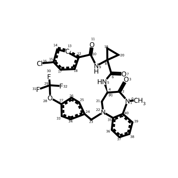 CN1C(=O)[C@H](NC(=O)C2(NC(=O)c3ccc(Cl)cc3)CC2)CN(Cc2ccc(OC(F)(F)F)cc2)c2ccccc21